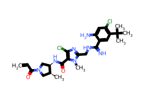 C=CC(=O)N1C[C@@H](C)[C@@H](NC(=O)c2c(Cl)nc(CNC(=N)c3cc(C(C)(C)C)c(Cl)cc3N)n2C)C1